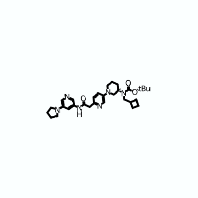 CC(C)(C)OC(=O)N(CC1CCC1)[C@@H]1CCCN(c2ccc(CC(=O)Nc3cncc(N4CCCC4)c3)nc2)C1